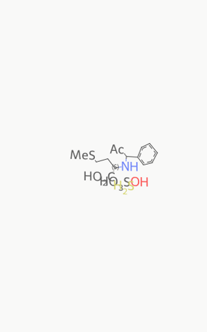 CSCC[C@H](NC(C(C)=O)c1ccccc1)C(=O)O.O=S(=O)(O)O.S